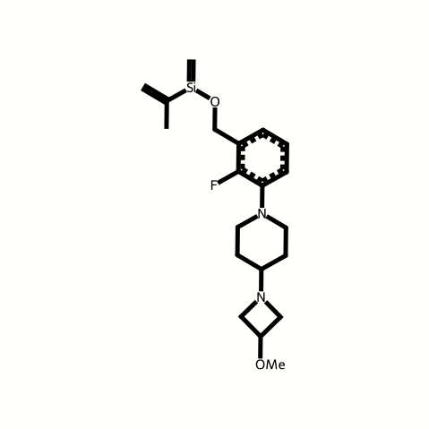 C=C(C)[Si](=C)OCc1cccc(N2CCC(N3CC(OC)C3)CC2)c1F